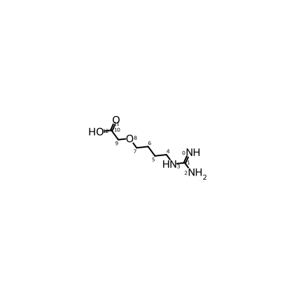 N=C(N)NCCCCOCC(=O)O